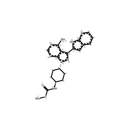 CC(C)(C)OC(=O)N[C@H]1CC[C@H](n2nc(-c3cc4cccnc4[nH]3)c3c(N)ncnc32)CC1